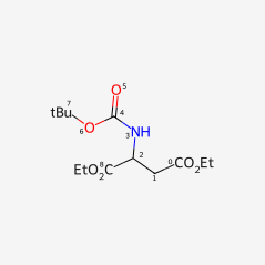 CCOC(=O)CC(NC(=O)OC(C)(C)C)C(=O)OCC